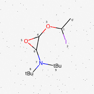 CC(I)OC1OC1N(C(C)(C)C)C(C)(C)C